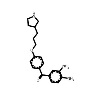 Nc1ccc(C(=O)c2ccc(OCCCC3CCNC3)cc2)cc1N